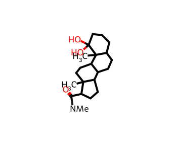 CNC(=O)C1CCC2C3CCC4CCCC(O)(O)C4(C)C3CCC12C